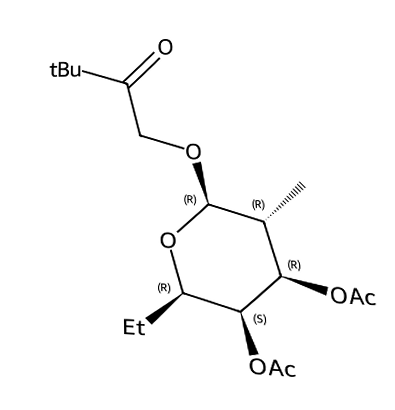 CC[C@H]1O[C@@H](OCC(=O)C(C)(C)C)[C@H](C)[C@@H](OC(C)=O)[C@H]1OC(C)=O